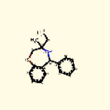 CCC1(C)CSc2ccccc2C(c2ccccc2)N1